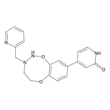 O=c1cc(-c2ccc3c(c2)ONN(Cc2ccccn2)CCO3)cc[nH]1